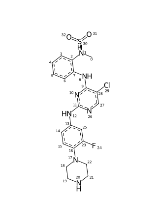 CN(c1ccccc1Nc1nc(Nc2ccc(N3CCNCC3)c(F)c2)ncc1Cl)[SH](=O)=O